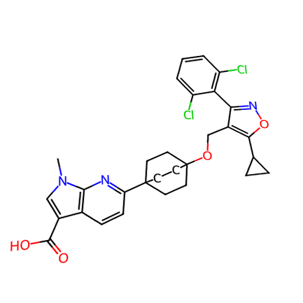 Cn1cc(C(=O)O)c2ccc(C34CCC(OCc5c(-c6c(Cl)cccc6Cl)noc5C5CC5)(CC3)CC4)nc21